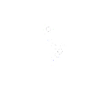 COc1ccc2ncc(CN3CCOCC3)c([C@H](F)CCC3(CC(=O)O)CCN(CCCc4cc(F)cc(F)c4F)CC3)c2c1